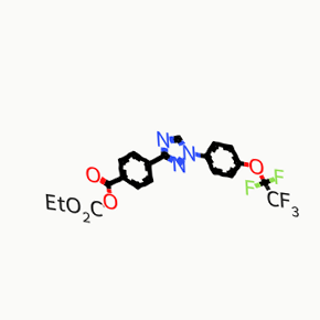 CCOC(=O)OC(=O)c1ccc(-c2ncn(-c3ccc(OC(F)(F)C(F)(F)F)cc3)n2)cc1